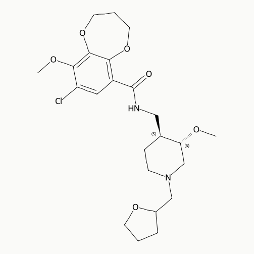 COc1c(Cl)cc(C(=O)NC[C@@H]2CCN(CC3CCCO3)C[C@H]2OC)c2c1OCCCO2